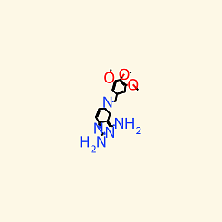 COc1cc(CN=C2C=Cc3nc(N)nc(N)c3C2)cc(OC)c1OC